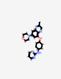 Cc1cnc2c(OC3CCC(Nc4ncccn4)CC3)cc(N3CCOCC3)cc2n1